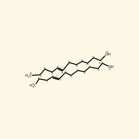 CCC/C=C/CCCCCCCO.CCCC/C=C/CCCCCCO